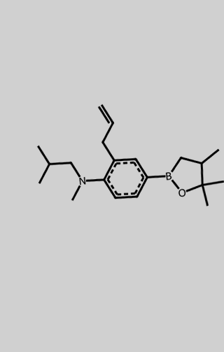 C=CCc1cc(B2CC(C)C(C)(C)O2)ccc1N(C)CC(C)C